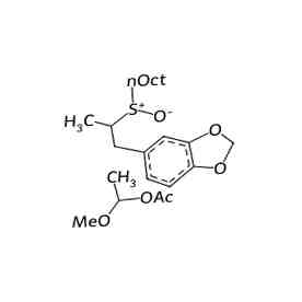 CCCCCCCC[S+]([O-])C(C)Cc1ccc2c(c1)OCO2.COC(C)OC(C)=O